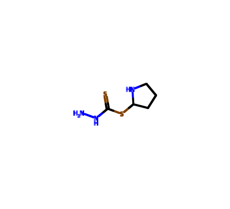 NNC(=S)SC1CCCN1